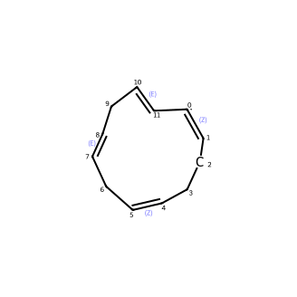 [C]1=C\CC/C=C\C/C=C/C/C=C/1